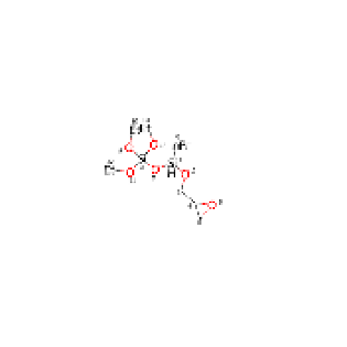 CCC[SiH](OCC1CO1)O[Si](OCC)(OCC)OCC